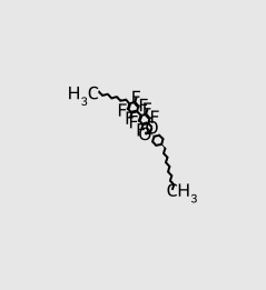 CCCCCCCCCC[C@H]1CC[C@H](C(=O)Oc2c(F)c(F)c(-c3c(F)c(F)c(CCCCCCCC)c(F)c3F)c(F)c2F)CC1